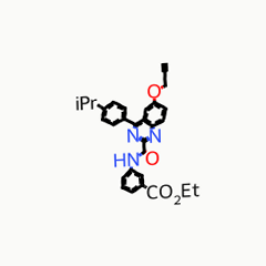 C#CCOc1ccc2nc(C(=O)Nc3cccc(C(=O)OCC)c3)nc(-c3ccc(C(C)C)cc3)c2c1